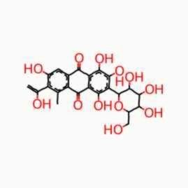 C=C(O)c1c(O)cc2c(c1C)C(=O)c1c(O)c(C3OC(CO)C(O)C(O)C3O)c(O)c(O)c1C2=O